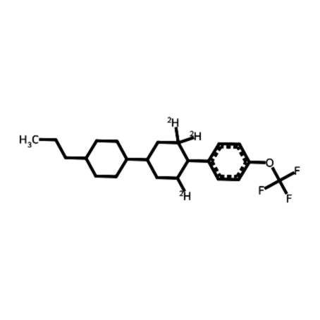 [2H]C1CC(C2CCC(CCC)CC2)CC([2H])([2H])C1c1ccc(OC(F)(F)F)cc1